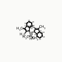 CC1=C(C)[CH]([Hf]([CH]2C(C)=C(C)c3ccccc32)[SiH](C)C)c2ccccc21